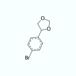 Brc1ccc(C2COCO2)cc1